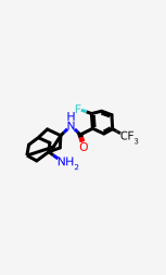 NC12CC3CC(C1)CC(NC(=O)c1cc(C(F)(F)F)ccc1F)(C3)C2